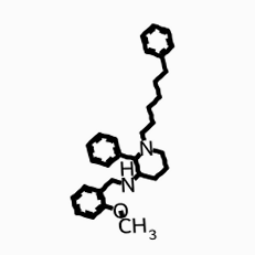 COc1ccccc1CNC1CCCN(CCCCCCc2ccccc2)C1c1ccccc1